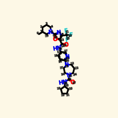 CC1CCCN(c2nc(C(F)(F)F)c(C(=O)Nc3ccc(N4CCCN(C(=O)NC5CCCC5)CC4)nc3)o2)C1